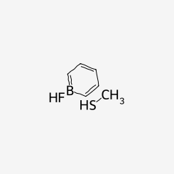 CS.F.b1ccccc1